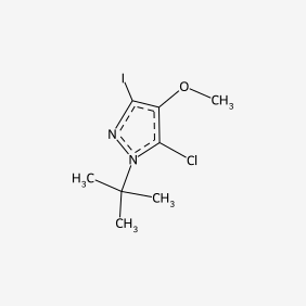 COc1c(I)nn(C(C)(C)C)c1Cl